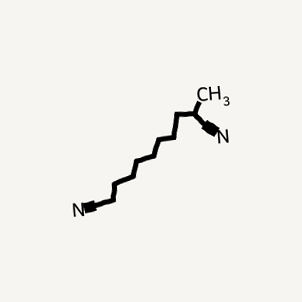 CC(C#N)CCCCCCCCC#N